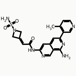 Cc1ccncc1-c1cc2cc(NC(=O)C=C3CN(S(N)(=O)=O)C3)ncc2c(N)n1